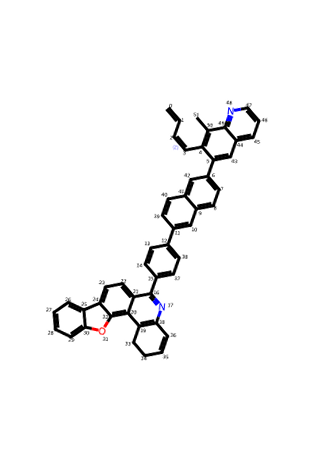 C=C/C=C\c1c(-c2ccc3cc(-c4ccc(-c5nc6c(c7c5ccc5c8ccccc8oc57)CCC=C6)cc4)ccc3c2)cc2cccnc2c1C